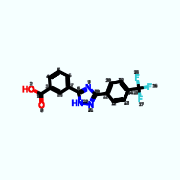 O=C(O)c1cccc(-c2nc(-c3ccc(C(F)(F)F)cc3)n[nH]2)c1